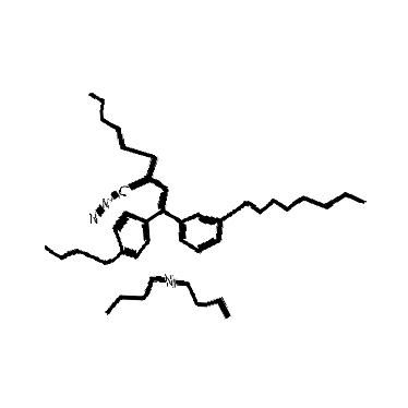 CCCCCCCCc1cccc(C(=CC(=C=[N+]=[N-])CCCCCC)c2ccc(CCCC)cc2)c1.CCC[CH2][Ni][CH2]CCC